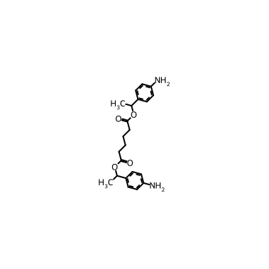 CC(OC(=O)CCCCC(=O)OC(C)c1ccc(N)cc1)c1ccc(N)cc1